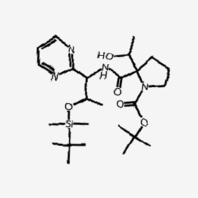 CC(O[Si](C)(C)C(C)(C)C)C(NC(=O)C1(C(C)O)CCCN1C(=O)OC(C)(C)C)c1ncccn1